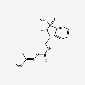 COP(=S)(c1ccccc1)N(C)SCNC(=O)ON=C(C)SC